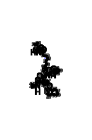 CC1(OC(=O)N[C@@H](CCCCC/C=C\CC(=O)NS(=O)(=O)C2CC2)C(=O)N2C[C@H](Oc3nccc4ccccc34)C[C@H]2C(=O)NC2CC2)CCC1